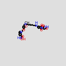 CN(Cc1ccc(OCCn2ccc3ccc(C(=O)NO)cc32)cc1)C(=O)CCCCCCCCNc1ccc2c(c1)C(=O)N(C1CCC(=O)NC1=O)C2=O